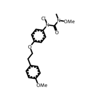 COc1ccc(CCOc2ccc(N(Cl)C(=O)N(C)OC)cc2)cc1